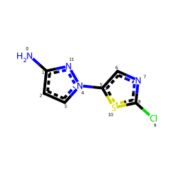 Nc1ccn(-c2cnc(Cl)s2)n1